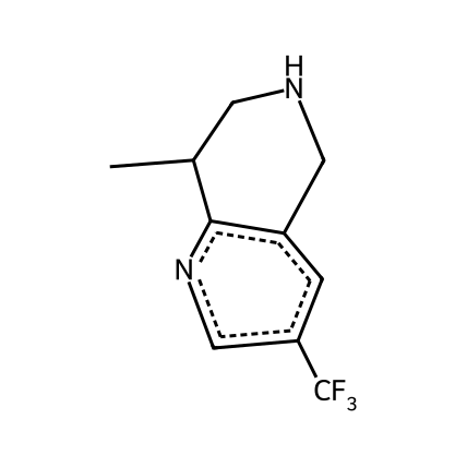 CC1CNCc2cc(C(F)(F)F)cnc21